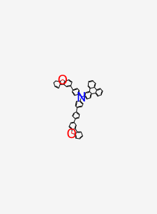 C1=Cc2c(oc3ccc(-c4ccc(N(c5ccc(-c6ccc(-c7ccc8oc9ccccc9c8c7)cc6)cc5)c5ccc6c7ccccc7c7ccccc7c6c5)cc4)cc23)CC1